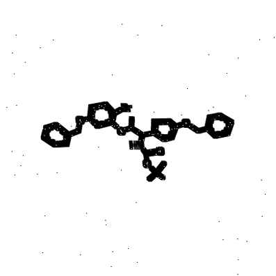 CC(Oc1cc(OCc2ccccc2)ccc1Br)C(NC(=O)OC(C)(C)C)c1ccc(OCc2ccccc2)cc1